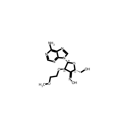 COCCO[C@@H]1C(=NO)[C@@H](CO)O[C@H]1n1cnc2c(N)ncnc21